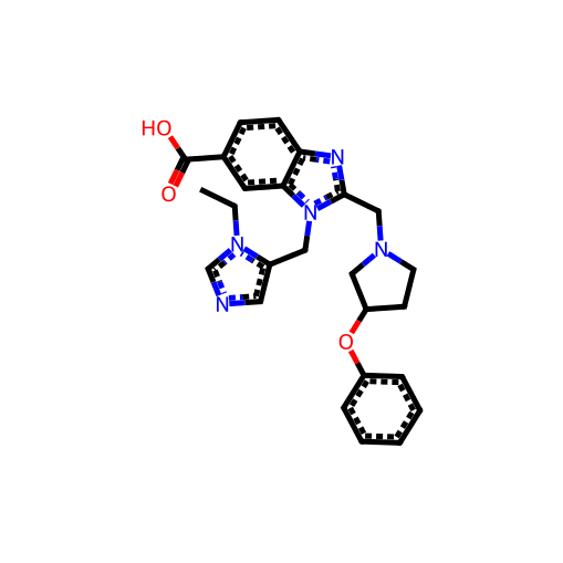 CCn1cncc1Cn1c(CN2CCC(Oc3ccccc3)C2)nc2ccc(C(=O)O)cc21